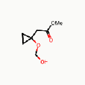 COC(=O)CC1(OCO)CC1